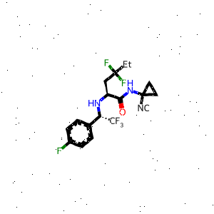 [C-]#[N+]C1(NC(=O)[C@H](CC(F)(F)CC)N[C@@H](c2ccc(F)cc2)C(F)(F)F)CC1